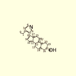 CCc1ccncc1C1=CC=C2C3CCC4C[C@@H](O)CC[C@]4(C)C3CC[C@]12C